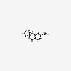 Nc1ccc2c(c1)CC1(CC2)OCCO1